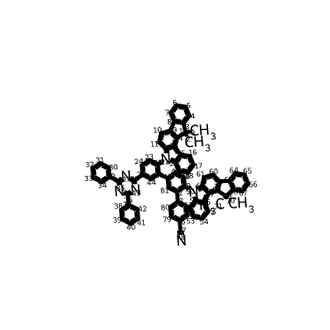 CC1(C)c2ccccc2-c2ccc3c(c21)c1ccccc1n3-c1ccc(-c2nc(-c3ccccc3)nc(-c3ccccc3)n2)cc1-c1ccc(-n2c3ccccc3c3c4c(ccc32)-c2ccccc2C4(C)C)c(-c2ccc(C#N)cc2)c1